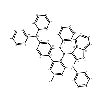 Cc1cc2c3c(c1)N(c1ccccc1)c1oc4ccccc4c1B3N(c1ccccc1)c1cc(N(c3ccccc3)c3ccccc3)ccc1-2